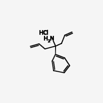 C=CCC(N)(CC=C)c1ccccc1.Cl